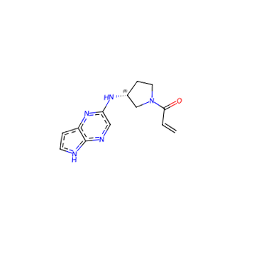 C=CC(=O)N1CC[C@@H](Nc2cnc3[nH]ccc3n2)C1